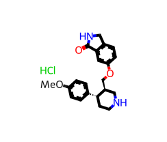 COc1ccc([C@H]2CCNC[C@@H]2COc2ccc3c(c2)C(=O)NC3)cc1.Cl